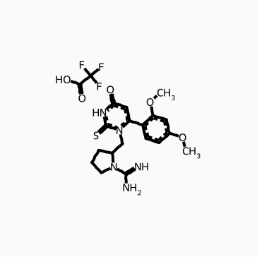 COc1ccc(-c2cc(=O)[nH]c(=S)n2CC2CCCN2C(=N)N)c(OC)c1.O=C(O)C(F)(F)F